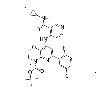 CC(C)(C)OC(=O)N1CCOc2c(Nc3ccncc3C(=O)NC3CC3)cc(-c3cc(Cl)ccc3F)nc21